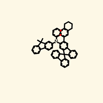 Cc1cc2c(cc1-c1cc3c(cc1N(c1ccccc1)c1ccc4c(c1)C(C)(C)c1ccccc1-4)C1(c4ccccc4-c4ccccc41)c1ccccc1-3)CCCC2